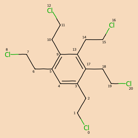 ClCCc1cc(CCCl)c(CCCl)c(CCCl)c1CCCl